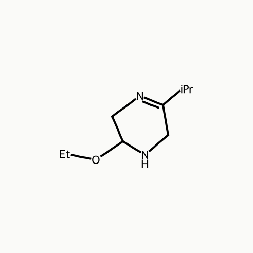 CCOC1CN=C(C(C)C)CN1